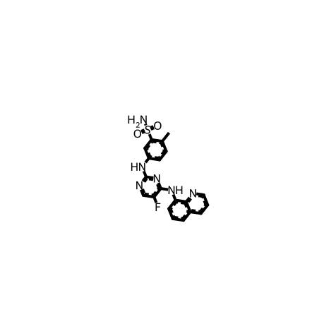 Cc1ccc(Nc2ncc(F)c(Nc3cccc4cccnc34)n2)cc1S(N)(=O)=O